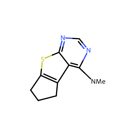 CNc1ncnc2sc3c(c12)CCC3